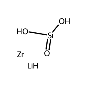 O=[Si](O)O.[LiH].[Zr]